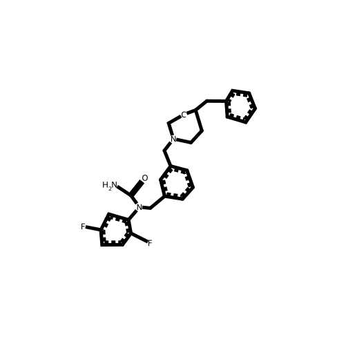 NC(=O)N(Cc1cccc(CN2CCC(Cc3ccccc3)CC2)c1)c1cc(F)ccc1F